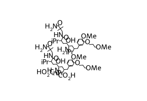 COCCCOc1cc(CC(CC(N)C(O)CC(C(=O)NCC(C)(C)C(N)=O)C(C)C)C(C)C)ccc1OC.COCCCOc1cc(CC(CC(N)C(O)CC(C(=O)NCC(C)(C)C(N)=O)C(C)C)C(C)C)ccc1OC.O=C(O)/C=C/C(=O)O